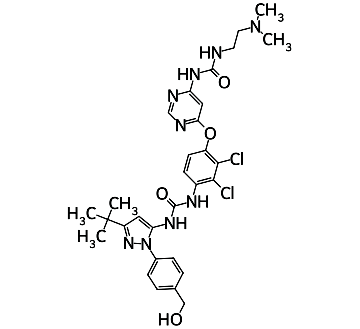 CN(C)CCNC(=O)Nc1cc(Oc2ccc(NC(=O)Nc3cc(C(C)(C)C)nn3-c3ccc(CO)cc3)c(Cl)c2Cl)ncn1